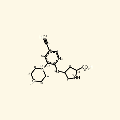 C#Cc1cnc(OC2CNC(C(=O)O)C2)c(N2CCOCC2)c1